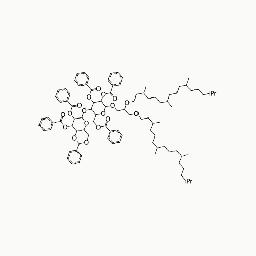 CC(C)CCCC(C)CCCC(C)CCCC(C)CCOCC(COC1OC(COC(=O)c2ccccc2)C(OC2OC3COC(c4ccccc4)OC3C(OC(=O)c3ccccc3)C2OC(=O)c2ccccc2)C(OC(=O)c2ccccc2)C1OC(=O)c1ccccc1)OCCC(C)CCCC(C)CCCC(C)CCCC(C)C